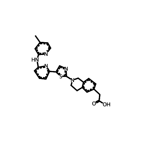 Cc1ccnc(Nc2cccc(-c3cnc(N4CCc5cc(CC(=O)O)ccc5C4)s3)n2)c1